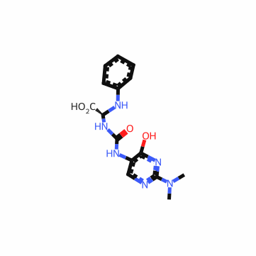 CN(C)c1ncc(NC(=O)N[C@H](Nc2ccccc2)C(=O)O)c(O)n1